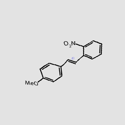 COc1ccc(/C=C/c2ccccc2[N+](=O)[O-])cc1